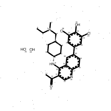 CCN(C)C[C@H]1CC[C@H](Nc2c(C(C)=O)cnc3ccc(-c4cc(Cl)c(O)c(Cl)c4)cc23)CC1.Cl.Cl